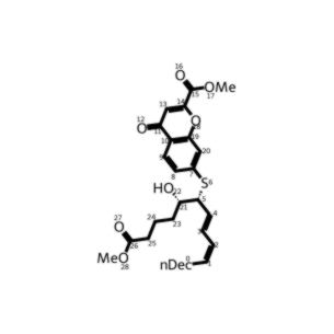 CCCCCCCCCC/C=C\C=C\[C@@H](Sc1ccc2c(=O)cc(C(=O)OC)oc2c1)[C@@H](O)CCCC(=O)OC